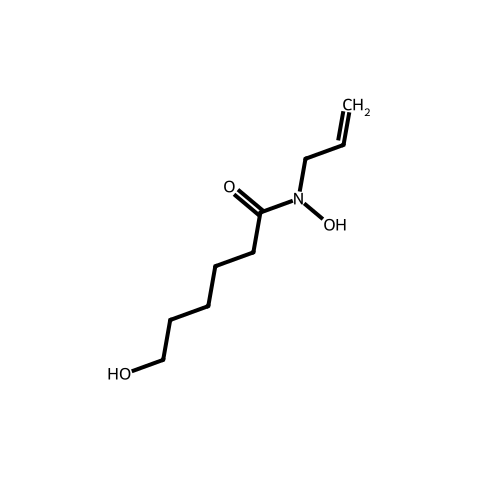 C=CCN(O)C(=O)CCCCCO